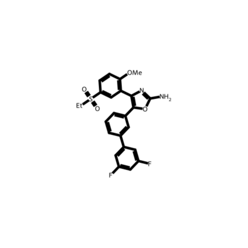 CCS(=O)(=O)c1ccc(OC)c(-c2nc(N)oc2-c2cccc(-c3cc(F)cc(F)c3)c2)c1